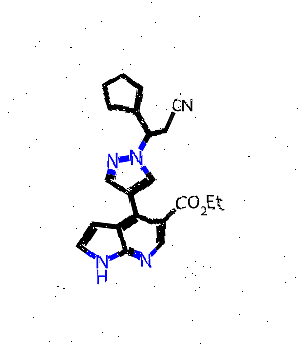 CCOC(=O)c1cnc2[nH]ccc2c1-c1cnn(C(CC#N)C2CCCC2)c1